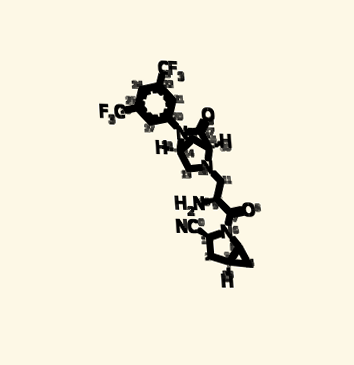 N#C[C@@H]1C[C@@H]2CC2N1C(=O)[C@@H](N)CN1C[C@@H]2C[C@H]1C(=O)N2c1cc(C(F)(F)F)cc(C(F)(F)F)c1